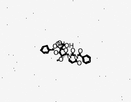 CO[C@H]1[C@H](n2ccc(=O)n(C(=O)c3ccccc3)c2=O)O[C@@](CO)(C(=O)O)[C@H]1OC(=O)c1ccccc1